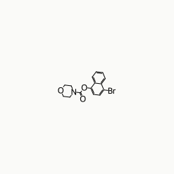 O=C(Oc1ccc(Br)c2ccccc12)N1CCOCC1